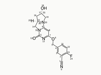 N#Cc1cc(COc2cc3n(c(=O)n2)C[C@H]2C[C@H](O)CN32)ccc1F